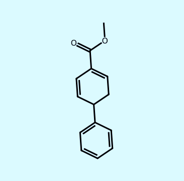 COC(=O)C1=CCC(c2ccccc2)C=C1